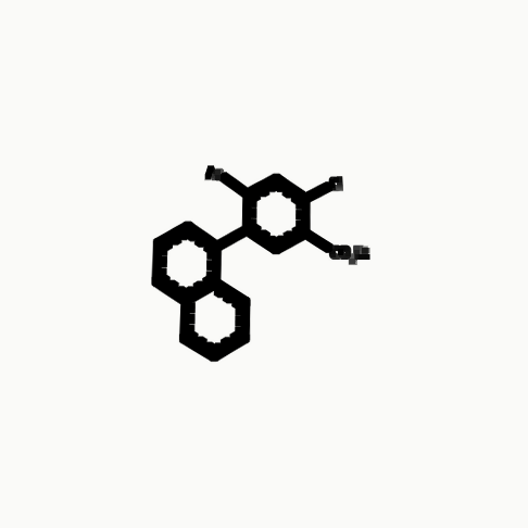 CCOC(=O)c1cc(-c2cccc3ccccc23)c(C(C)=O)cc1Cl